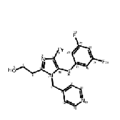 CC(C)c1nc(CCO)n(Cc2ccncc2)c1Sc1cc(F)cc(F)c1